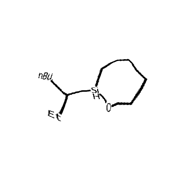 CCCCC(CC)[SiH]1CCCCO1